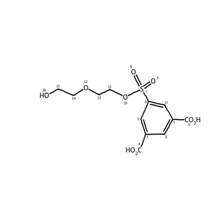 O=C(O)c1cc(C(=O)O)cc(S(=O)(=O)OCCOCCO)c1